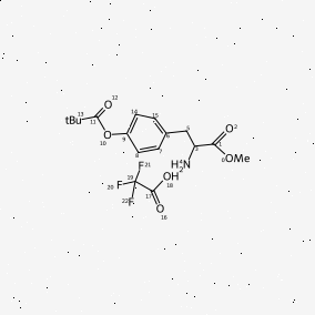 COC(=O)C(N)Cc1ccc(OC(=O)C(C)(C)C)cc1.O=C(O)C(F)(F)F